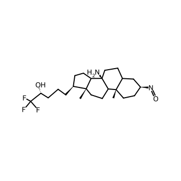 C[C@]12CC[C@H](N=O)CC1CC[C@]1(N)C2CC[C@@]2(C)C1CC[C@@H]2CCC[C@@H](O)C(F)(F)F